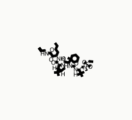 C=CCNC(=O)C(=O)C(CCCC)NC(=O)[C@@H]1[C@@H]2[C@H](CN1C(=O)[C@@H](NC(=O)N[C@H](CN(C)S(=O)(=O)CC)C(C)(C)C)C1(C)CCCCC1)C2(C)C